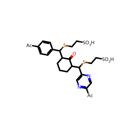 CC(=O)c1ccc(C(SCCS(=O)(=O)O)C2CCCC(C(SCCS(=O)(=O)O)c3cnc(C(C)=O)cn3)C2=O)cc1